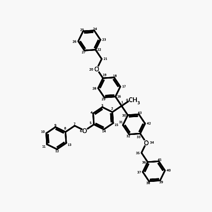 CC(c1ccc(OCc2ccccc2)cc1)(c1ccc(OCc2ccccc2)cc1)c1ccc(OCc2ccccc2)cc1